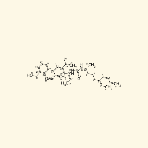 C=C/C=C\C(=C/C)CCC[C@@H](C)NC(=O)NC(=C/C)/N=C(/N=C(\C=C)c1cccc(CO)c1OC)C(=C)I